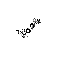 CCOC(=O)c1ncoc1-c1ccc(N2CCN(C(=O)OC(C)(C)C)CC2)cc1